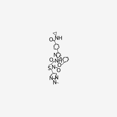 CN(C)c1ncc(C2SCC(C(=O)Nc3nc(-c4ccc(C(=O)NC5CC5)cc4)cs3)N2C(=O)OCc2ccccc2)cn1